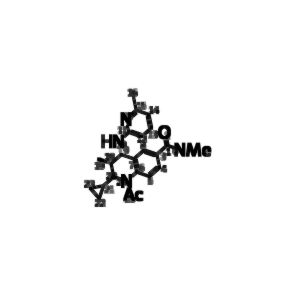 CNC(=O)c1ccc2c(c1)[C@@H](Nc1cccc(C)n1)[C@H](C)C(C1CC1)N2C(C)=O